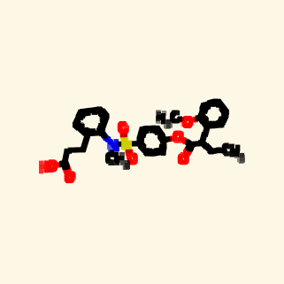 CCC(C(=O)Oc1ccc(S(=O)(=O)N(C)c2ccccc2CCC(=O)O)cc1)c1ccccc1OC